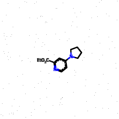 CCOC(=O)c1cc(N2CCCC2)ccn1